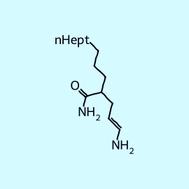 CCCCCCCCCCC(CC=CN)C(N)=O